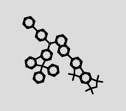 CC1(C)CC(C)(C)c2cc3c(cc21)-c1ccc(-c2ccc4c(N(c5ccc(-c6ccccc6)cc5)c5ccc6c(c5)-c5ccccc5C6(c5ccccc5)c5ccccc5)cccc4c2)cc1C3(C)C